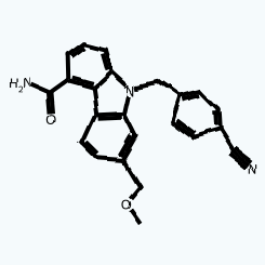 COCc1c[c]c2c3c(C(N)=O)cccc3n(Cc3ccc(C#N)cc3)c2c1